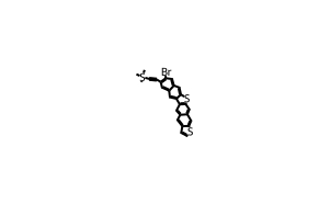 CS(C)(C)C#Cc1cc2cc3c(cc2cc1Br)sc1cc2cc4sccc4cc2cc13